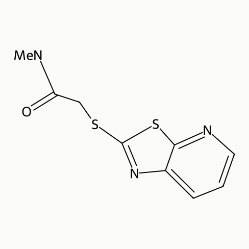 CNC(=O)CSc1nc2cccnc2s1